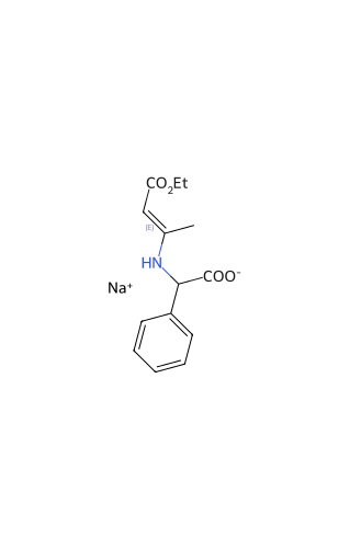 CCOC(=O)/C=C(\C)NC(C(=O)[O-])c1ccccc1.[Na+]